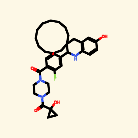 O=C(c1ccc(C2Nc3ccc(O)cc3CC23CCCCCCCCCCC3)cc1F)N1CCN(C(=O)C2(O)CC2)CC1